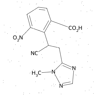 Cn1ncnc1CC(C#N)c1c(C(=O)O)cccc1[N+](=O)[O-]